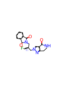 O=C1NCCc2nn(C/C(=C/F)CN3C(=O)c4ccccc4C3=O)cc21